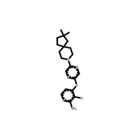 CC1(C)CCC2(CCN(c3cnc(Sc4ccnc(N)c4Cl)cn3)CC2)C1